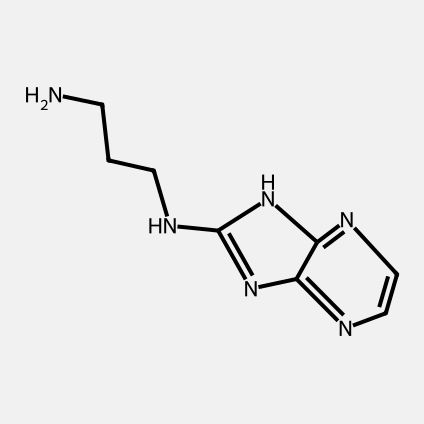 NCCCNc1nc2nccnc2[nH]1